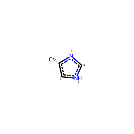 [Cs].c1c[nH]cn1